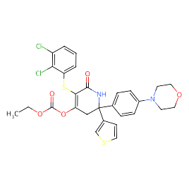 CCOC(=O)OC1=C(Sc2cccc(Cl)c2Cl)C(=O)NC(c2ccc(N3CCOCC3)cc2)(c2ccsc2)C1